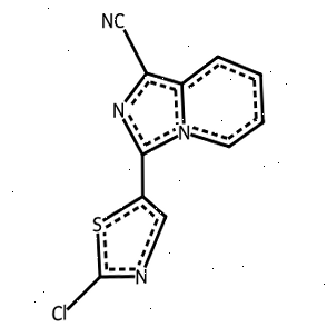 N#Cc1nc(-c2cnc(Cl)s2)n2ccccc12